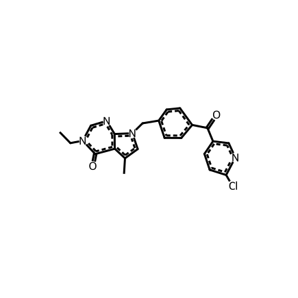 CCn1cnc2c(c(C)cn2Cc2ccc(C(=O)c3ccc(Cl)nc3)cc2)c1=O